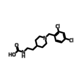 O=C(O)NCCC1CCN(Cc2ccc(Cl)cc2Cl)CC1